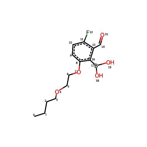 CCCCOCCOc1ccc(F)c(C=O)c1B(O)O